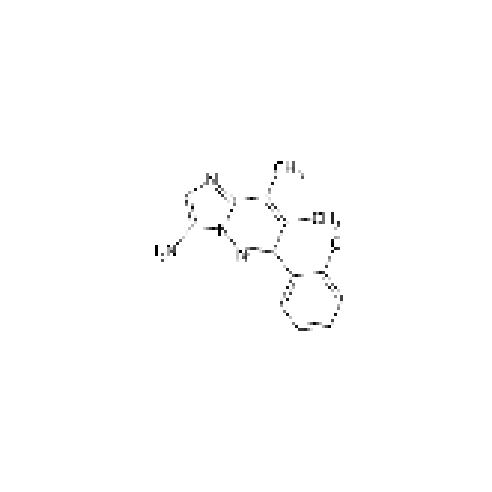 Cc1c(-c2ccccc2Cl)nn2c(N)cnc2c1C